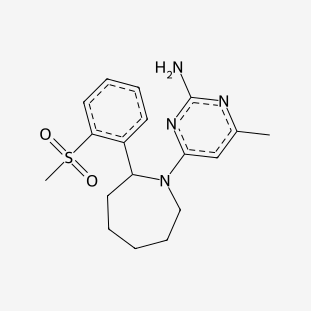 Cc1cc(N2CCCCCC2c2ccccc2S(C)(=O)=O)nc(N)n1